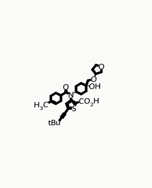 CC1=CCC(C(=O)N(c2cc(C#CC(C)(C)C)sc2C(=O)O)[C@H]2CC[C@](O)(CO[C@H]3CCOC3)CC2)CC1